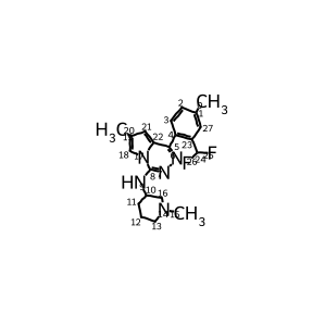 Cc1ccc(-c2nnc(NC3CCCN(C)C3)n3cc(C)cc23)c(C(F)F)c1